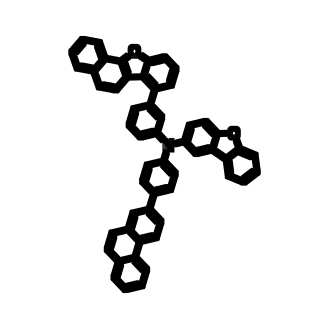 c1cc(-c2cccc3oc4c5ccccc5ccc4c23)cc(N(c2ccc(-c3ccc4c(ccc5ccccc54)c3)cc2)c2ccc3oc4ccccc4c3c2)c1